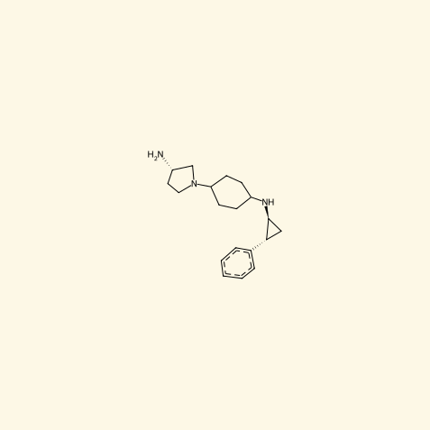 N[C@H]1CCN(C2CCC(N[C@H]3C[C@@H]3c3ccccc3)CC2)C1